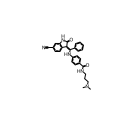 CN(C)CCCNC(=O)c1ccc(NC(=C2C(=O)Nc3cc(C#N)ccc32)c2ccccc2)cc1